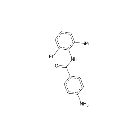 CCc1cccc(C(C)C)c1NC(=O)c1ccc(N)cc1